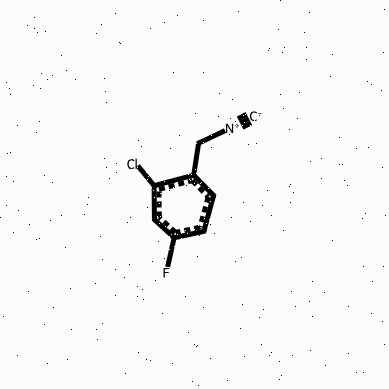 [C-]#[N+]Cc1ccc(F)cc1Cl